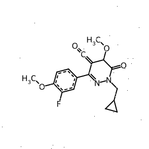 COc1ccc(C2=NN(CC3CC3)C(=O)C(OC)C2=C=O)cc1F